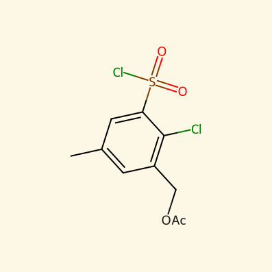 CC(=O)OCc1cc(C)cc(S(=O)(=O)Cl)c1Cl